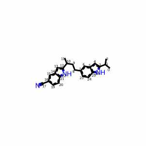 CC(C)c1cc2cc(CCC(C)c3cc4cc(C#N)ccc4[nH]3)ccc2[nH]1